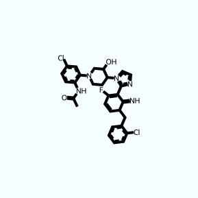 CC(=O)Nc1ccc(Cl)cc1N1CCC(n2ccnc2C2=C(F)C=CC(Cc3ccccc3Cl)C2=N)C(O)C1